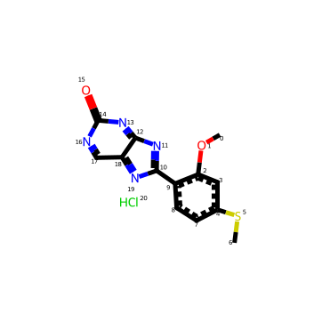 COc1cc(SC)ccc1C1=NC2=NC(=O)N=CC2=N1.Cl